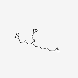 C(CSCC1CO1)CC(CSCC1CO1)SCC1CO1